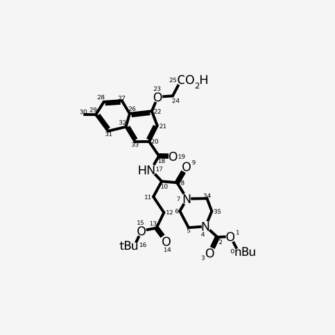 CCCCOC(=O)N1CCN(C(=O)C(CCC(=O)OC(C)(C)C)NC(=O)c2cc(OCC(=O)O)c3ccc(C)cc3c2)CC1